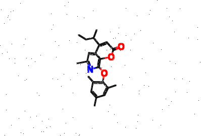 CCC(C)c1cc(=O)oc2c(Oc3c(C)cc(C)cc3C)nc(C)cc12